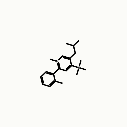 Cc1ccccc1-c1cc([Si](C)(C)C)c(CC(C)C)c[n+]1C